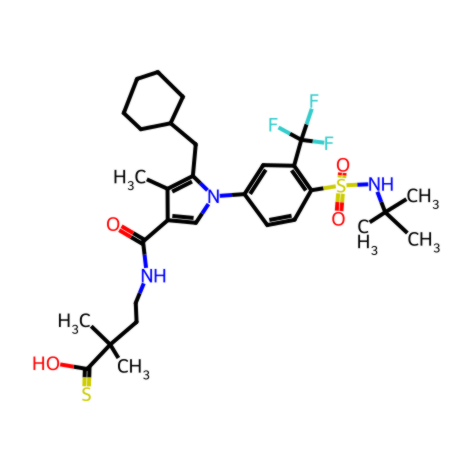 Cc1c(C(=O)NCCC(C)(C)C(O)=S)cn(-c2ccc(S(=O)(=O)NC(C)(C)C)c(C(F)(F)F)c2)c1CC1CCCCC1